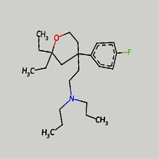 CCCN(CCC)CCC1(c2ccc(F)cc2)CCOC(CC)(CC)C1